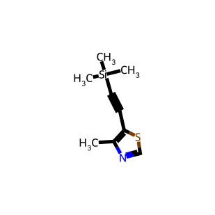 Cc1ncsc1C#C[Si](C)(C)C